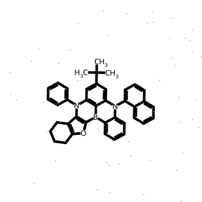 CC(C)(C)c1cc2c3c(c1)N(c1cccc4ccccc14)c1ccccc1B3c1oc3c(c1N2c1ccccc1)CCCC3